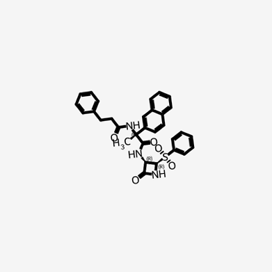 C[C@](NC(=O)CCc1ccccc1)(C(=O)N[C@@H]1C(=O)N[C@@H]1S(=O)(=O)c1ccccc1)c1ccc2ccccc2c1